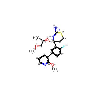 COC[C@@H](C)OC[C@@]1(c2cc(-c3cccnc3OC)ccc2F)CCSC(N)=N1